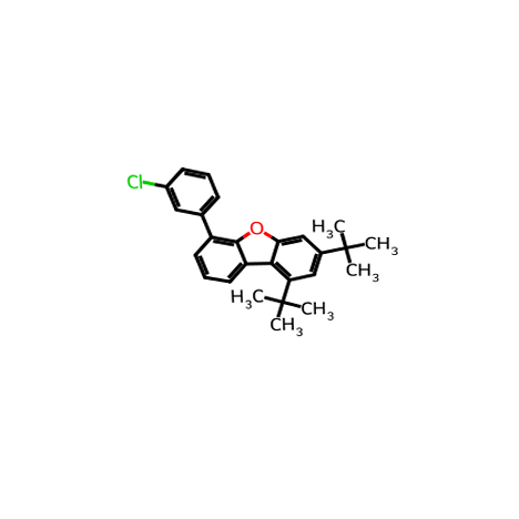 CC(C)(C)c1cc(C(C)(C)C)c2c(c1)oc1c(-c3cccc(Cl)c3)cccc12